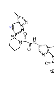 C=C(/C=C\c1[nH]ncc1C)[C@@H]1CCCCN1C(=O)C(=O)Nc1cnc(NC(=O)OC(C)(C)C)c(C)c1